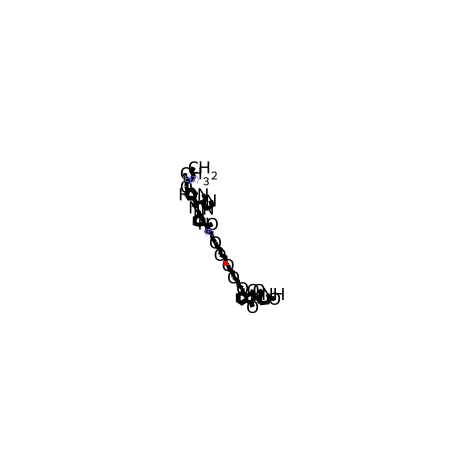 C=C/C=C\C(=C/C)Oc1ccc(-c2nn(C3CCCN(C(=O)/C=C/COCCOCCOCCOCCOc4cccc5c4C(=O)N(C4CCC(=O)NC4=O)C5=O)C3)c3ncnc(N)c23)cc1